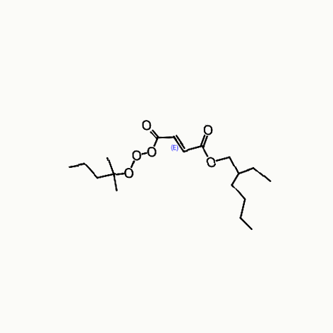 CCCCC(CC)COC(=O)/C=C/C(=O)OOOC(C)(C)CCC